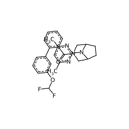 Cc1cc(C)nc(N2C3CCC2CN(C(=O)c2ccccc2-c2cccc(OC(F)F)c2)C3)n1